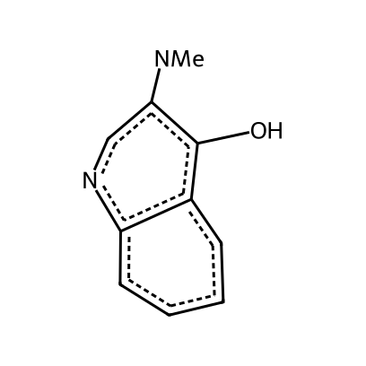 CNc1cnc2ccccc2c1O